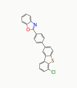 Clc1cccc2c1sc1ccc(-c3ccc(-c4nc5ccccc5o4)cc3)cc12